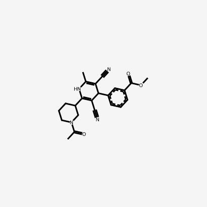 COC(=O)c1cccc(C2C(C#N)=C(C)NC(C3CCCN(C(C)=O)C3)=C2C#N)c1